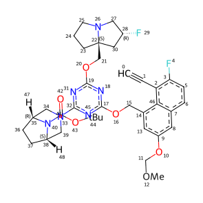 C#Cc1c(F)ccc2cc(OCOC)cc(COc3nc(OC[C@@]45CCCN4C[C@H](F)C5)nc(N4C[C@H]5CC[C@@H](C4)N5C(=O)OC(C)(C)C)n3)c12